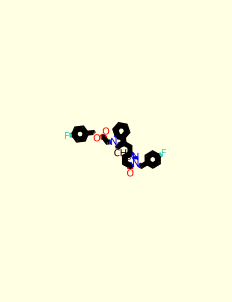 Cc1c(Cc2ccc(=O)n(Cc3ccc(F)cc3)n2)c2ccccc2n1CC(=O)OCc1ccc(F)cc1